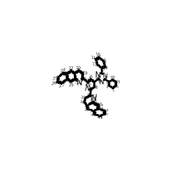 c1ccc(-c2nc(-c3ccccc3)nc(-c3cc(-c4ccc5cc6ccccc6cc5n4)nc(-c4ccc5cc6ccccc6cc5n4)c3)n2)cc1